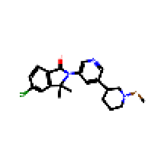 CSN1CCCC(c2cncc(N3C(=O)c4ccc(Cl)cc4C3(C)C)c2)C1